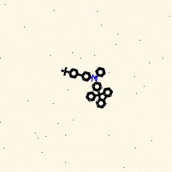 CC(C)(C)c1ccc(-c2ccc(N(c3ccccc3)c3ccc(C4(c5ccccc5)c5ccccc5-c5ccccc54)cc3)cc2)cc1